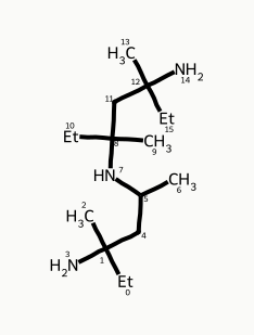 CCC(C)(N)CC(C)NC(C)(CC)CC(C)(N)CC